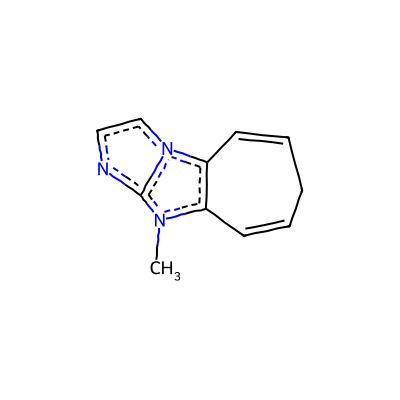 Cn1c2c(n3ccnc13)C=CCC=C2